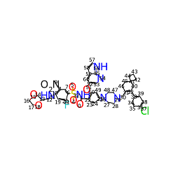 O=C(NS(=O)(=O)c1cc([N+](=O)[O-])c(NCC2COCCO2)cc1F)c1ccc(N2CCN(CC3=C(c4ccc(Cl)cc4)CC4(CCC4)CC3)CC2)cc1Oc1cnc2[nH]ccc2c1